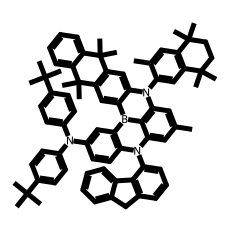 Cc1cc2c3c(c1)N(c1cccc4c1-c1ccccc1C4)c1ccc(N(c4ccc(C(C)(C)C)cc4)c4ccc(C(C)(C)C)cc4)cc1B3c1cc3c(cc1N2c1cc2c(cc1C)C(C)(C)CCC2(C)C)C(C)(C)c1ccccc1C3(C)C